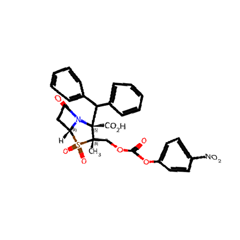 C[C@]1(COC(=O)Oc2ccc([N+](=O)[O-])cc2)[C@@](C(=O)O)(C(c2ccccc2)c2ccccc2)N2C(=O)C[C@H]2S1(=O)=O